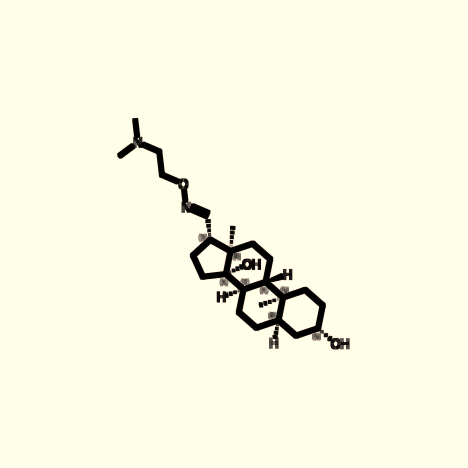 CN(C)CCON=C[C@H]1CC[C@]2(O)[C@@H]3CC[C@@H]4C[C@@H](O)CC[C@]4(C)[C@H]3CC[C@]12C